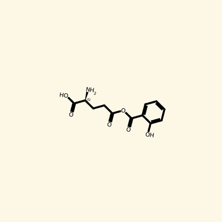 N[C@@H](CCC(=O)OC(=O)c1ccccc1O)C(=O)O